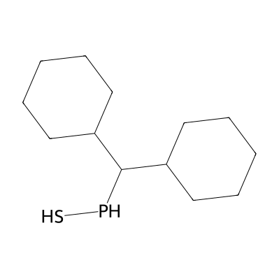 SPC(C1CCCCC1)C1CCCCC1